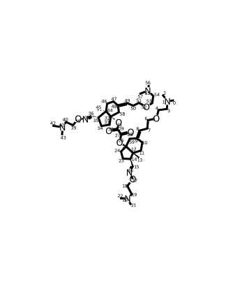 CN(C)CCOCCC=C1CC[C@]2(C)[C@@H](C=NOCCN(C)C)CC[C@]2(OC(=O)C(=O)O[C@]23CC[C@H](C=NOCCN(C)C)[C@@]2(C)CCC(=CCCOCCN(C)C)C3)C1